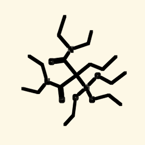 CCCC(C(=O)N(CC)CC)(C(=O)N(CC)CC)[Si](OCC)(OCC)OCC